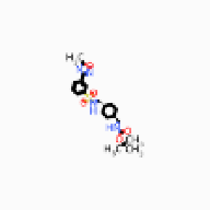 Cc1nc(-c2cccc(S(=O)(=O)NC[C@H]3CC[C@H](CNC(=O)OC(C)(C)C)CC3)c2)no1